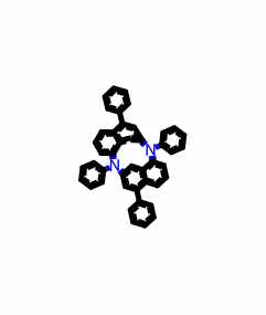 c1ccc(-c2cc3cc4c2cccc4n(-c2ccccc2)c2cc(-c4ccccc4)c4cccc(c4c2)n3-c2ccccc2)cc1